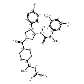 CN(C(=O)N(C)[C@@H]1CN(C(=O)C2CCC(C(OC(N)=O)C(C)(C)C)CC2)C[C@H]1c1ccc(F)cc1)c1cc(C(F)(F)F)cc(C(F)(F)F)c1